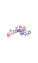 Cc1cc(-n2ncc(C(=O)c3cc4cc(OC[C@H]5COC(C)(C)O5)c(Br)cc4[nH]3)c2N[PH](c2ccccc2)(c2ccccc2)c2ccccc2)ccc1Oc1ccccc1F